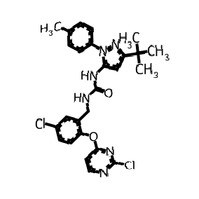 Cc1ccc(-n2nc(C(C)(C)C)cc2NC(=O)NCc2cc(Cl)ccc2Oc2ccnc(Cl)n2)cc1